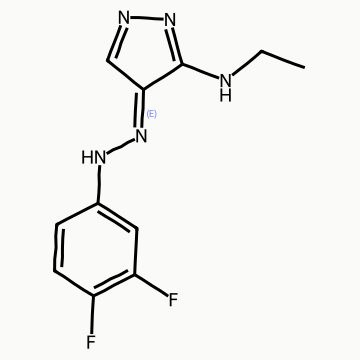 CCNC1=NN=C/C1=N\Nc1ccc(F)c(F)c1